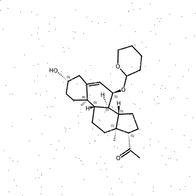 CC(=O)[C@H]1CC[C@H]2[C@@H]3[C@H](OC4CCCCO4)C=C4C[C@@H](O)CC[C@]4(C)[C@H]3CC[C@]12C